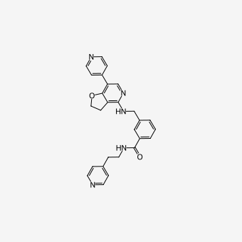 O=C(NCCc1ccncc1)c1cccc(CNc2ncc(-c3ccncc3)c3c2CCO3)c1